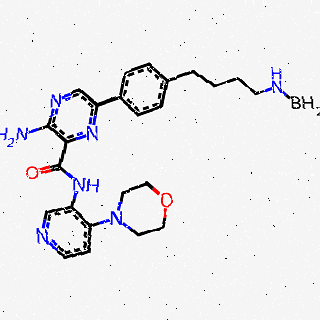 BNCCCCc1ccc(-c2cnc(N)c(C(=O)Nc3cnccc3N3CCOCC3)n2)cc1